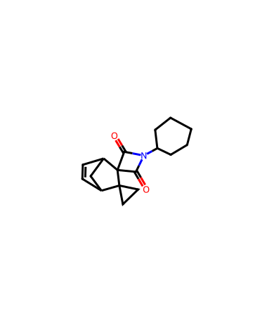 O=C1N(C2CCCCC2)C(=O)C12C1C=CC(C1)C21CC1